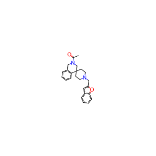 CC(=O)N1Cc2ccccc2C2(CCN(Cc3cc4ccccc4o3)CC2)C1